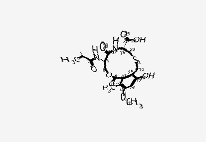 CCC(=O)N[C@H]1COC(=O)c2c(C)c(OC)cc(O)c2CSC[C@@H](C(=O)O)NC1=O